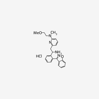 COCCN(C)c1cccc(CC(N)c2ccccc2-c2noc3ccccc23)n1.Cl